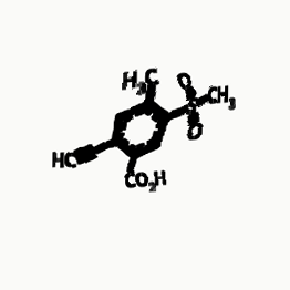 C#Cc1cc(C)c(S(C)(=O)=O)cc1C(=O)O